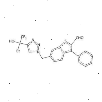 CCC(O)(c1cn(Cc2ccc3c(-c4ccccc4)c(C=O)sc3c2)nn1)C(F)(F)F